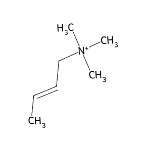 CC=CC[N+](C)(C)C